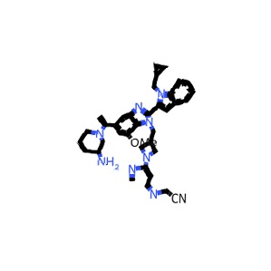 C=N/C(=C\C=N/CC#N)N1CC(Cn2c(-c3cc4ccccc4n3CC3CC3)nc3cc(C(=C)N4CCCC(N)C4)cc(OC)c32)C1